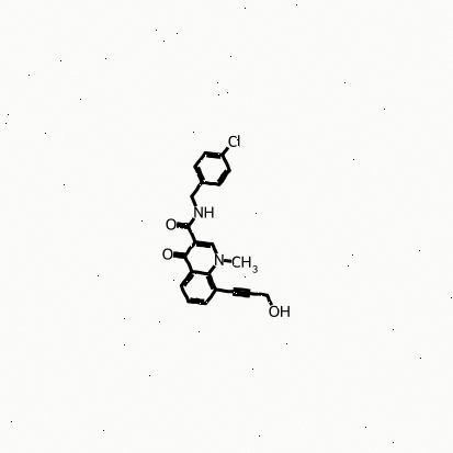 Cn1cc(C(=O)NCc2ccc(Cl)cc2)c(=O)c2cccc(C#CCO)c21